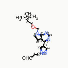 C[Si](C)(C)CCOCn1ccc2c(-c3cnn(CCC=O)c3)ncnc21